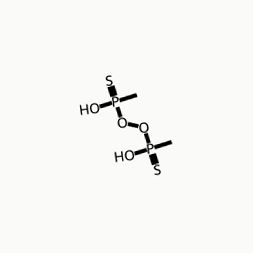 CP(O)(=S)OOP(C)(O)=S